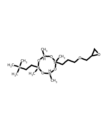 C[SiH]1O[Si](C)(CCCOCC2CO2)O[SiH](C)O[Si](C)(CC[Si](C)(C)C)O1